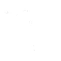 CCCCP(CCCC)C1=Cc2ccccc2[CH]1[Hf+2][CH]1CCC2CC=CC=C21.[Cl-].[Cl-]